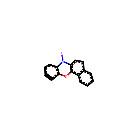 IN1c2ccc#cc2Oc2c1ccc1ccccc21